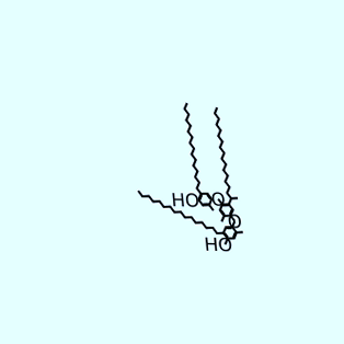 CCCCCCCCCCCCCCCCc1cc(Oc2cc(C(C)CCCCCCCCCCCCCCCC)c(Oc3cc(CCCCCCCCCCCCCCCC)c(O)cc3C)cc2C)c(C)cc1O